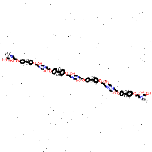 CN(CCO)CC(O)COC1CCC(C(C)(C)C2CCC(OCC(O)CN3CCN(CC(O)COC4CCC(C(C)(C)C5CCC(OCC(O)CN6CCN(CC(O)COC7CCC(C(C)(C)C8CCC(OCC(O)CN9CCN(CC(O)COC%10CCC(C(C)(C)C%11CCC(OCC(O)CN(C)CCO)CC%11)CC%10)CC9)CC8)CC7)CC6)CC5)CC4)CC3)CC2)CC1